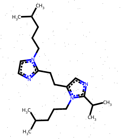 CC(C)CCCn1ccnc1CCc1cnc(C(C)C)n1CCCC(C)C